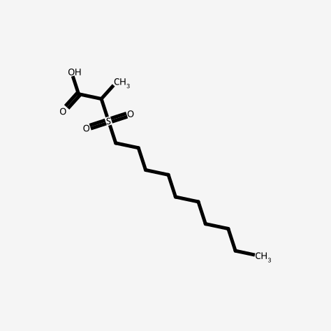 CCCCCCCCCCS(=O)(=O)C(C)C(=O)O